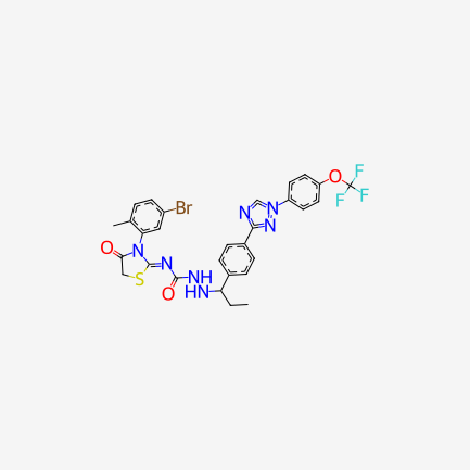 CCC(NNC(=O)/N=C1\SCC(=O)N1c1cc(Br)ccc1C)c1ccc(-c2ncn(-c3ccc(OC(F)(F)F)cc3)n2)cc1